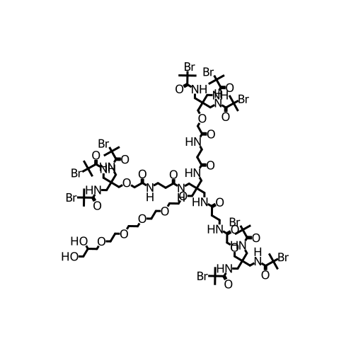 CC(C)(Br)C(=O)NCC(CNC(=O)C(C)(C)Br)(CNC(=O)C(C)(C)Br)COCC(=O)NCCC(=O)NCC(CNC(=O)CCNC(=O)COCC(CNC(=O)C(C)(C)Br)(CNC(=O)C(C)(C)Br)CNC(=O)C(C)(C)Br)(CNC(=O)CCNC(=O)COCC(CNC(=O)C(C)(C)Br)(CNC(=O)C(C)(C)Br)CNC(=O)C(C)(C)Br)COCCOCCOCCOCCOCC(O)CO